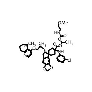 COCCNC(=O)OC(C)OC(=O)C1(Nc2cccc(Cl)c2)CCC2(CC1)c1cc3c(cc1C[C@@H]2C[C@@H](C)COc1ccnc2c1[C@H](C)CCC2)OCO3